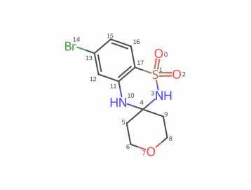 O=S1(=O)NC2(CCOCC2)Nc2cc(Br)ccc21